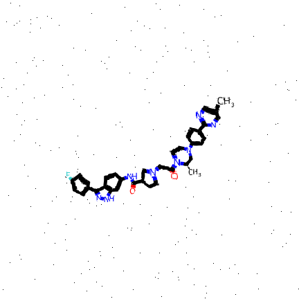 Cc1cnc(-c2ccc(N3CCN(C(=O)CN4CCC(C(=O)Nc5ccc6c(-c7ccc(F)cc7)n[nH]c6c5)C4)[C@@H](C)C3)cc2)nc1